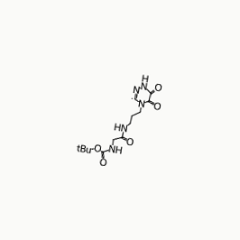 CC(C)(C)OC(=O)NCC(=O)NCCCn1[c]n[nH]c(=O)c1=O